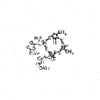 COC(=O)OC(=O)CCC1=C(C)c2cc3cc(C)c(cc4nc(cc5[nH]c(cc1n2)c(CCC(=O)OC(=O)OC)c5C)C(C)=C4)[nH]3